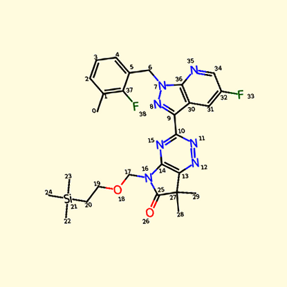 Cc1cccc(Cn2nc(-c3nnc4c(n3)N(COCC[Si](C)(C)C)C(=O)C4(C)C)c3cc(F)cnc32)c1F